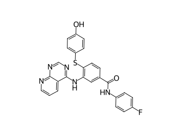 O=C(Nc1ccc(F)cc1)c1ccc(Sc2ccc(O)cc2)c(Nc2ncnc3ncccc23)c1